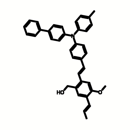 CC=Cc1cc(CO)c(C=Cc2ccc(N(c3ccc(C)cc3)c3ccc(-c4ccccc4)cc3)cc2)cc1OC